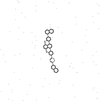 C1=C(c2ccc3c(c2)Sc2ccc4c5c(ccc-3c25)-c2ccc(-c3cccc5ccccc35)cc2S4)CCC(c2ccc3ccccc3c2)=C1